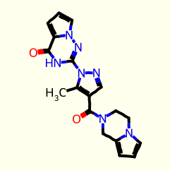 Cc1c(C(=O)N2CCn3cccc3C2)cnn1-c1nn2cccc2c(=O)[nH]1